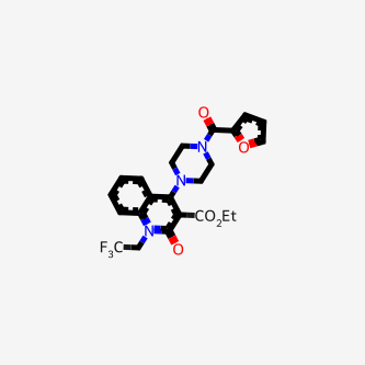 CCOC(=O)c1c(N2CCN(C(=O)c3ccco3)CC2)c2ccccc2n(CC(F)(F)F)c1=O